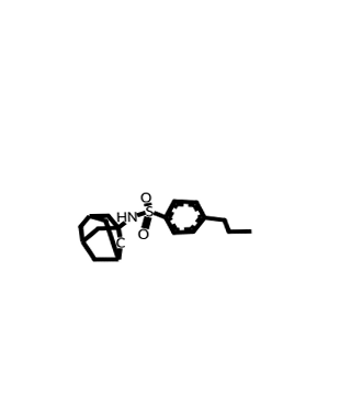 CCCc1ccc(S(=O)(=O)NC23CC4CC(CC(C4)C2)C3)cc1